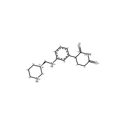 O=C1CCC(c2cccc(NC[C@@H]3CCCNC3)c2)C(=O)N1